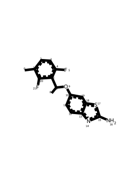 Cc1ccc(F)c(C(C)Oc2ccc3nc(N)sc3c2)c1F